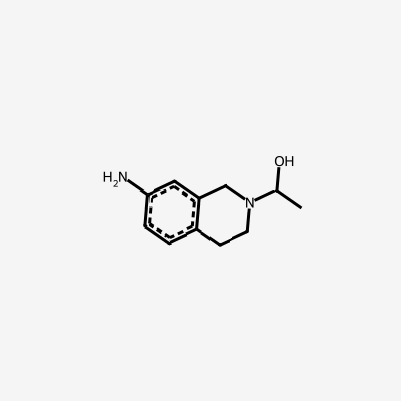 CC(O)N1CCc2ccc(N)cc2C1